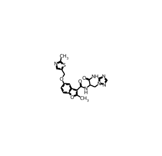 Cc1ncc(COc2ccc3oc(C)c(C(=O)NC(Cn4cncn4)C(N)=O)c3c2)s1